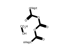 CCCCCCCC(=O)OC(=O)OC(=O)CCCCCCC.O=C(O)O